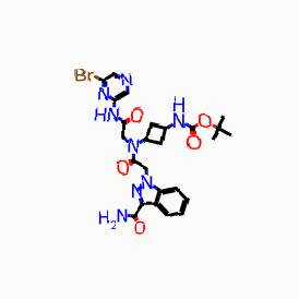 CC(C)(C)OC(=O)NC1CC(N(CC(=O)Nc2cncc(Br)n2)C(=O)Cn2nc(C(N)=O)c3ccccc32)C1